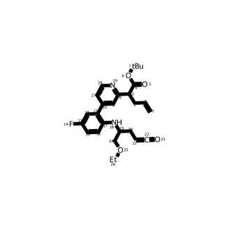 C=CCC(C(=O)OC(C)(C)C)c1cc(-c2cc(F)ccc2NC(CC=C=O)COCC)ccn1